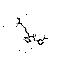 CCC(=O)CCCCCC(C(=O)Nc1cccc(C(C)=O)c1)n1ccnc1